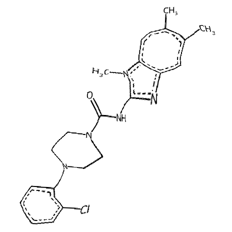 Cc1cc2nc(NC(=O)N3CCN(c4ccccc4Cl)CC3)n(C)c2cc1C